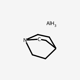 C1CN2CCC1CC2.[AlH3]